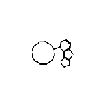 c1cc2c(c(C3CCCCCCCCCCC3)c1)C1=C(CCC1)[N]2